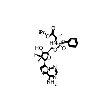 CC(C)OC(=O)[C@H](C)N[P@](=O)(OC[C@H]1O[C@@H](c2cnc3c(N)ncnn23)[C@](C)(F)[C@@H]1O)Oc1ccccc1